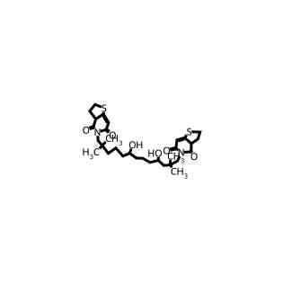 CC(C)(CCCC(O)CCCC(O)CC(C)(C)CN1C(=O)C=C2SCCC2C1=O)CN1C(=O)C=C2SCCC2C1=O